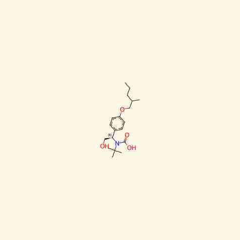 CCCC(C)COc1ccc([C@H](CO)N(C(=O)O)C(C)(C)C)cc1